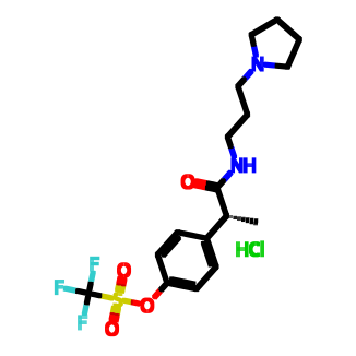 C[C@@H](C(=O)NCCCN1CCCC1)c1ccc(OS(=O)(=O)C(F)(F)F)cc1.Cl